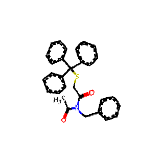 CC(=O)N(Cc1ccccc1)C(=O)CSC(c1ccccc1)(c1ccccc1)c1ccccc1